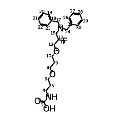 O=C(O)NCCCOCCCOCC(F)CN(Cc1ccccc1)Cc1ccccc1